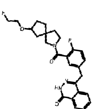 O=C(c1cc(Cc2n[nH]c(=O)c3ccccc23)ccc1F)N1CCC2(CCC(OCCF)C2)C1